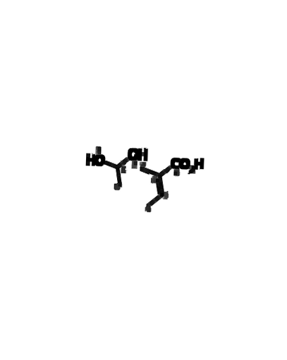 CC(O)O.CC=C(C)C(=O)O